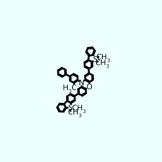 Cc1cc(-c2ccccc2)ccc1N1c2cc(-c3ccc4c(c3)S(C)(C)c3ccccc3-4)ccc2Oc2ccc(-c3ccc4c(c3)S(C)(C)c3ccccc3-4)cc21